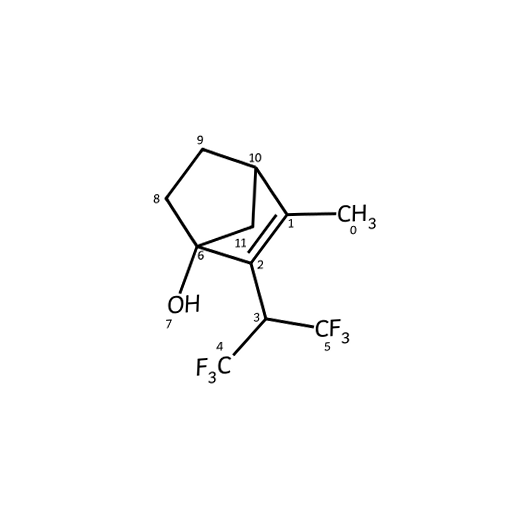 CC1=C(C(C(F)(F)F)C(F)(F)F)C2(O)CCC1C2